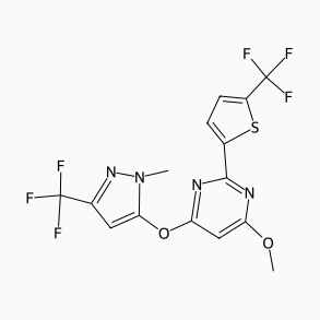 COc1cc(Oc2cc(C(F)(F)F)nn2C)nc(-c2ccc(C(F)(F)F)s2)n1